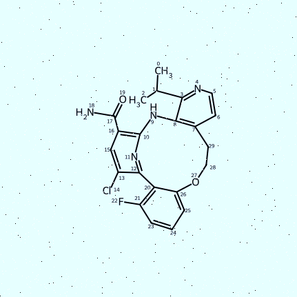 CC(C)c1nccc2c1Nc1nc(c(Cl)cc1C(N)=O)-c1c(F)cccc1OCC2